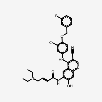 CCN(CC)C/C=C/C(=O)Nc1cc2c(Nc3ccc(OCc4cccc(F)c4)c(Cl)c3)c(C#N)cnc2cc1O